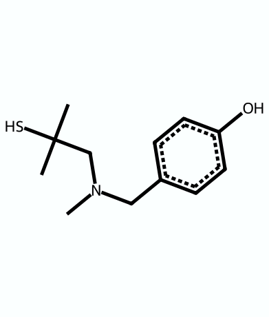 CN(Cc1ccc(O)cc1)CC(C)(C)S